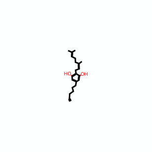 C#CCCCCc1cc(O)c(CC=C(C)CCC=C(C)C)c(O)c1